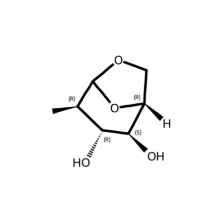 C[C@H]1C2OC[C@@H](O2)[C@@H](O)[C@@H]1O